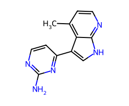 Cc1ccnc2[nH]cc(-c3ccnc(N)n3)c12